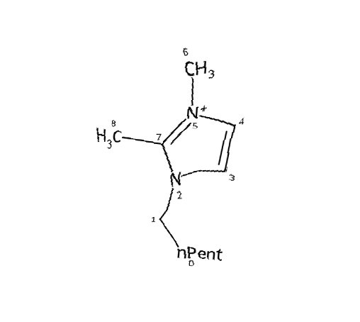 CCCCCCn1cc[n+](C)c1C